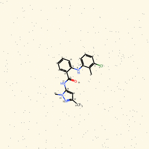 Cc1c(Cl)cccc1Nc1ccccc1C(=O)Nc1cc(C(F)(F)F)nn1C